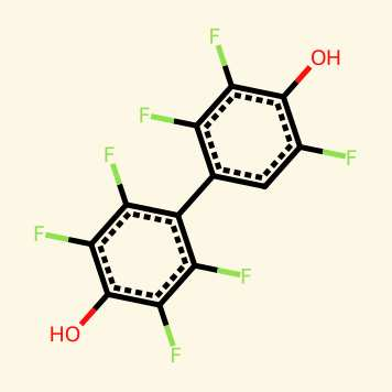 Oc1c(F)cc(-c2c(F)c(F)c(O)c(F)c2F)c(F)c1F